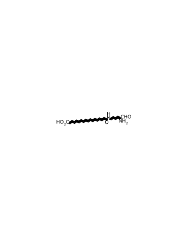 NC(C=O)CCCCNC(=O)CCCCCCCCCCCCCCCCC(=O)O